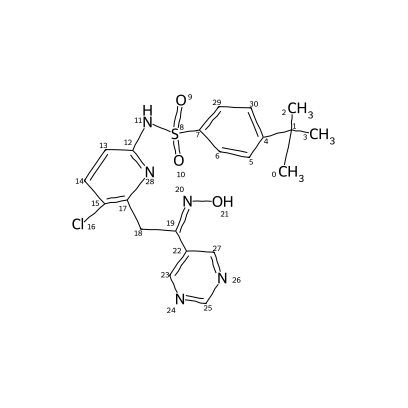 CC(C)(C)c1ccc(S(=O)(=O)Nc2ccc(Cl)c(CC(=NO)c3cncnc3)n2)cc1